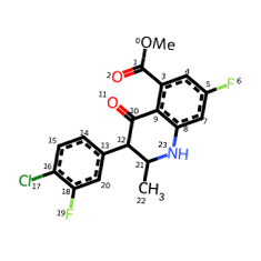 COC(=O)c1cc(F)cc2c1C(=O)C(c1ccc(Cl)c(F)c1)C(C)N2